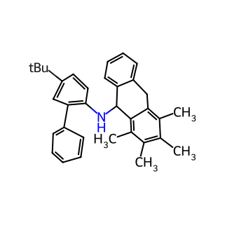 Cc1c(C)c(C)c2c(c1C)Cc1ccccc1C2Nc1ccc(C(C)(C)C)cc1-c1ccccc1